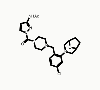 CC(=O)Nc1ccn(C(=O)N2CCN(Cc3ccc(Cl)cc3N3CC4CCC(C3)O4)CC2)n1